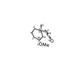 CO[C@@H]1CCC[C@](C)(N=C=O)C1